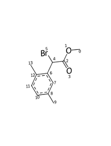 COC(=O)C(Br)c1cc(C)ccc1C